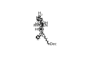 CCCCCCCCCCCCCCCCOC[C@@H](COP(=O)(O)OC[C@@](C#N)(OC)[C@@H](O)[C@@H](O)c1ccc2c(N)ncnn12)OCc1ccccc1